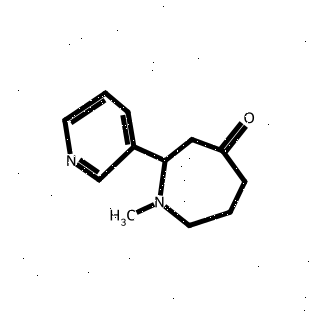 CN1CCCC(=O)CC1c1cccnc1